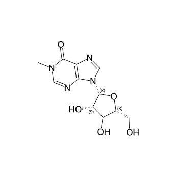 Cn1cnc2c(ncn2[C@@H]2O[C@H](CO)C(O)[C@@H]2O)c1=O